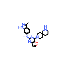 Cc1n[nH]c2cc(Nc3nc(N4CCC5(CCCNC5)CC4)c4occc4n3)ccc12